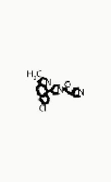 Cc1cnc2c(c1)CCc1cc(Cl)ccc1C2=C1CCN(C(=O)Cc2ccncc2)CC1